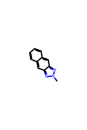 Cn1nc2cc3ccccc3cc2n1